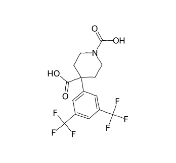 O=C(O)N1CCC(C(=O)O)(c2cc(C(F)(F)F)cc(C(F)(F)F)c2)CC1